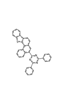 c1ccc(-c2nc(-c3ccccc3)nc(-c3cc4ccc5c6ccccc6sc5c4c4ccccc34)n2)cc1